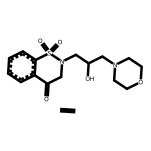 C=C.O=C1CN(CC(O)CN2CCOCC2)S(=O)(=O)c2ccccc21